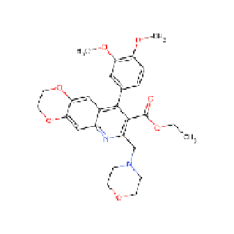 CCOC(=O)c1c(CN2CCOCC2)nc2cc3c(cc2c1-c1ccc(OC)c(OC)c1)OCCO3